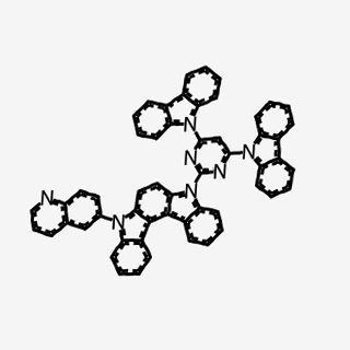 c1cnc2ccc(-n3c4ccccc4c4c5c6ccccc6n(-c6nc(-n7c8ccccc8c8ccccc87)cc(-n7c8ccccc8c8ccccc87)n6)c5ccc43)cc2c1